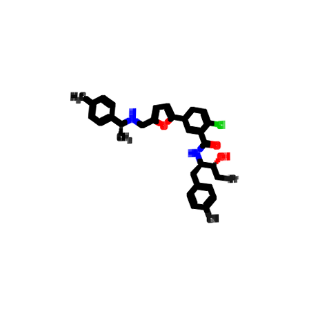 Cc1ccc([C@@H](C)NCc2ccc(C3C=C(C(=O)N[C@H](Cc4ccc(C#N)cc4)[C@H](O)CC(C)C)C(Cl)=CC3)o2)cc1